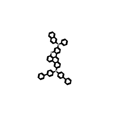 c1ccc(-c2ccc(N(c3ccc(-c4ccccc4)cc3)c3ccc4cc5c6c(cccc6c4c3)Sc3cc(N(c4ccccc4)c4ccc6ccccc6c4)ccc3-5)cc2)cc1